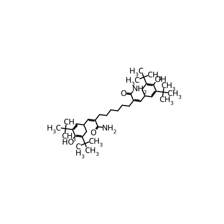 CC(C)(C)C1=CC(C=C(CCCCCCC(=CC2C=C(C(C)(C)C)C(O)=C(C(C)(C)C)C2)C(N)=O)C(N)=O)CC(C(C)(C)C)=C1O